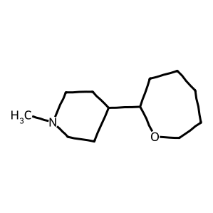 CN1CCC(C2CCCCCO2)CC1